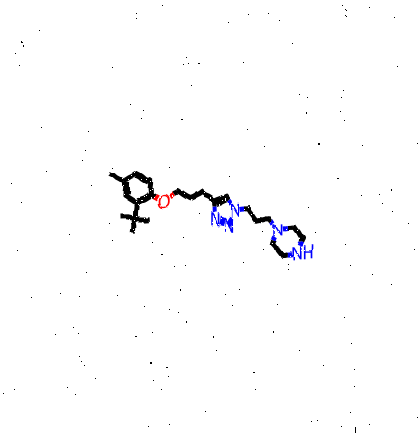 Cc1ccc(OCCCc2cn(CCCN3CCNCC3)nn2)c(C(C)(C)C)c1